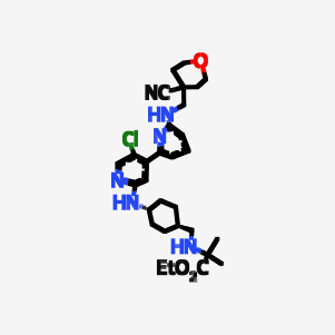 CCOC(=O)C(C)(C)NC[C@H]1CC[C@H](Nc2cc(-c3cccc(NCC4(C#N)CCOCC4)n3)c(Cl)cn2)CC1